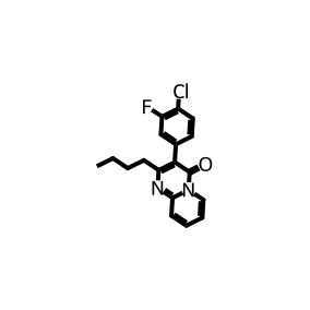 CCCCc1nc2ccccn2c(=O)c1-c1ccc(Cl)c(F)c1